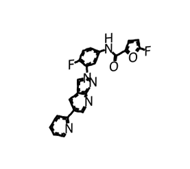 O=C(Nc1ccc(F)c(-n2cc3cc(-c4ccccn4)cnc3n2)c1)c1ccc(F)o1